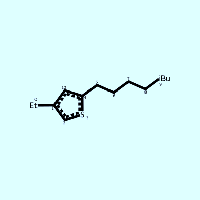 CCc1csc(CCCCC(C)CC)c1